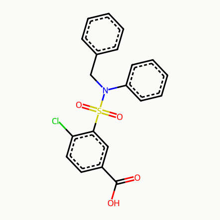 O=C(O)c1ccc(Cl)c(S(=O)(=O)N(Cc2ccccc2)c2ccccc2)c1